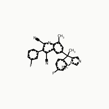 Cc1cc(C(C)(c2ccc(F)cc2)c2cncn2C)cc2c(C#N)c(-c3cccc(F)c3)c(C#N)nc12